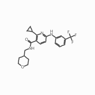 O=C(NCC1CCOCC1)c1ccc(Nc2cccc(C(F)(F)F)c2)nc1C1CC1